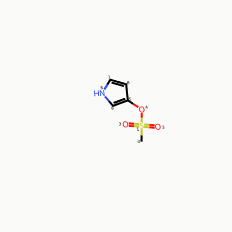 CS(=O)(=O)Oc1cc[nH]c1